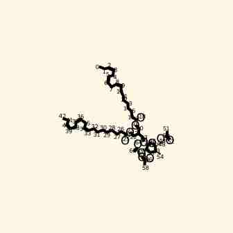 CC/C=C\C/C=C\C/C=C\CCCCCCCC(=O)OCC(COC(=O)CCCCCCC/C=C\C/C=C\C/C=C\CC)CO[C@@H]1O[C@H](COC(C)=O)[C@@H](C)[C@H](OC(C)=O)[C@H]1OC(C)=O